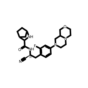 N#C[C@H](Cc1ccc(N2CCN3CCOCC3C2)cc1F)NC(=O)C1NC2CCC1C2